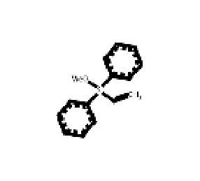 C=C[Si](OC)(c1ccccc1)c1ccccc1